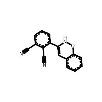 N#Cc1cccc(C2=Cc3ccccc3ON2)c1C#N